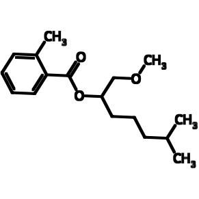 COCC(CCCC(C)C)OC(=O)c1ccccc1C